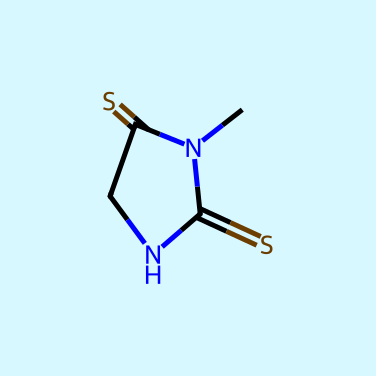 CN1C(=S)CNC1=S